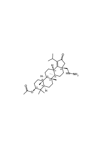 CC(=O)O[C@H]1CC[C@]2(C)[C@H]3CC[C@@H]4C5=C(C(C)C)C(=O)C[C@]5(CNN)CC[C@@]4(C)[C@]3(C)CC[C@H]2C1(C)C